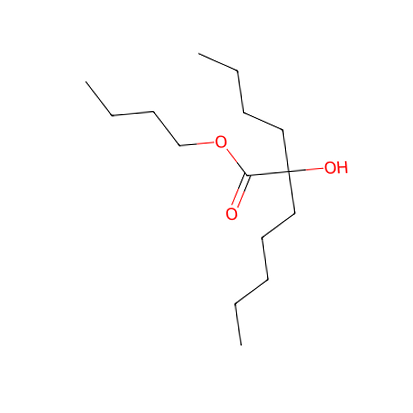 CCCCCC(O)(CCCC)C(=O)OCCCC